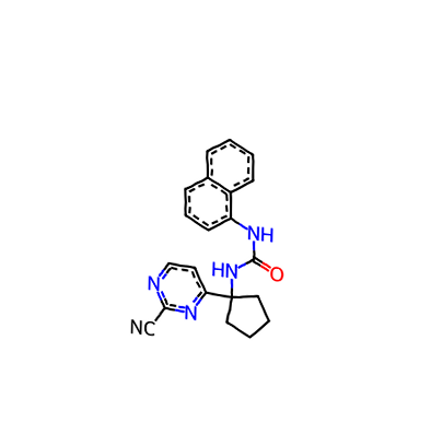 N#Cc1nccc(C2(NC(=O)Nc3cccc4ccccc34)CCCC2)n1